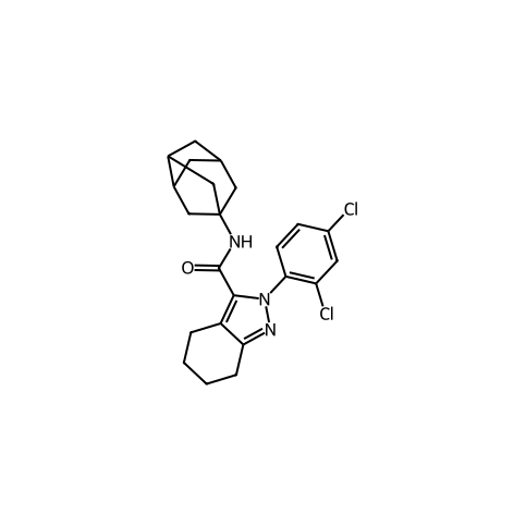 O=C(NC12CC3CC(C1)C(C3)C2)c1c2c(nn1-c1ccc(Cl)cc1Cl)CCCC2